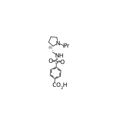 CC(C)N1CCC[C@H]1CNS(=O)(=O)c1ccc(C(=O)O)cc1